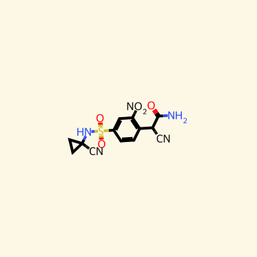 N#CC(C(N)=O)c1ccc(S(=O)(=O)NC2(C#N)CC2)cc1[N+](=O)[O-]